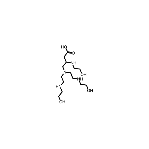 O=C(O)CC(CN(CCNCCO)CCNCCO)NCCO